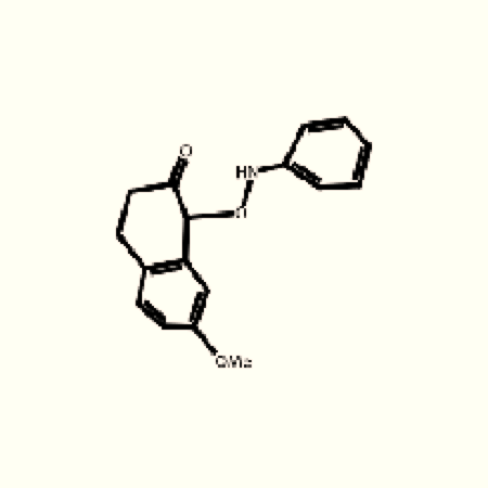 COc1ccc2c(c1)C(ONc1ccccc1)C(=O)CC2